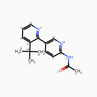 CC(=O)Nc1ccc(-c2ncccc2C(C)(C)C)cn1